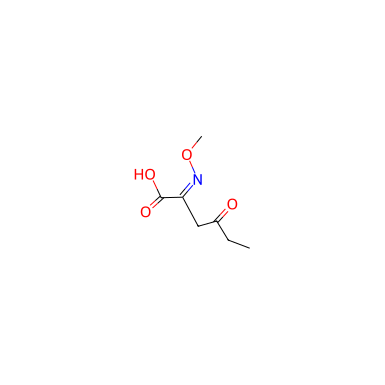 CCC(=O)CC(=NOC)C(=O)O